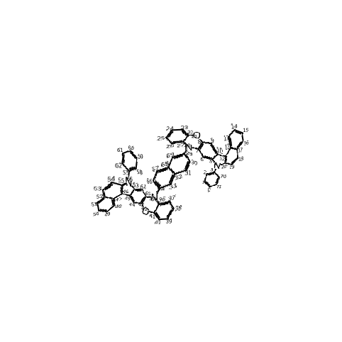 c1ccc(-n2c3cc4c(cc3c3c5ccccc5ccc32)Oc2ccccc2N4c2ccc3cc(N4c5ccccc5Oc5cc6c7c8ccccc8ccc7n(-c7ccccc7)c6cc54)ccc3c2)cc1